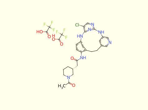 CC(=O)N1CCC[C@H](CC(=O)Nc2ccc3cc2CCc2cncc(c2)Nc2ncc(Cl)c(n2)N3)C1.O=C(O)C(F)(F)F.O=C(O)C(F)(F)F